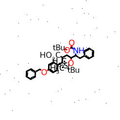 CC(C)(C)OC(=O)NC(Cc1ccccc1)C(CC(Cc1ccc(OCc2ccccc2)cc1)C(=O)O)O[Si](C)(C)C(C)(C)C